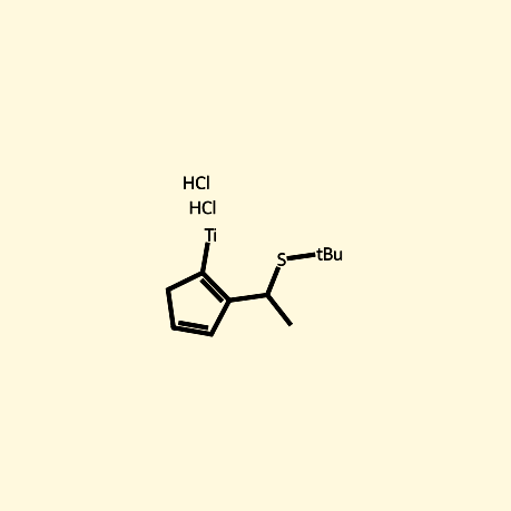 CC(SC(C)(C)C)C1=[C]([Ti])CC=C1.Cl.Cl